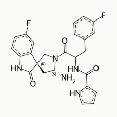 N[C@@H]1C[C@@]2(CN1C(=O)C(Cc1cccc(F)c1)NC(=O)c1ccc[nH]1)C(=O)Nc1ccc(F)cc12